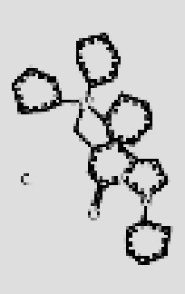 O=c1cc(C[P+](c2ccccc2)(c2ccccc2)c2ccccc2)nc2ccn(-c3ccccc3)n12.[Cl-]